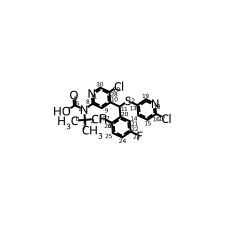 CC(C)(C)N(C(=O)O)c1cc(C(Sc2ccc(Cl)nc2)c2cc(F)ccc2F)c(Cl)cn1